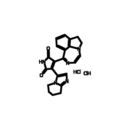 Cl.Cl.O=C1NC(=O)C(c2cnc3n2CCCC3)=C1C1=NC=CN2CCc3cccc1c32